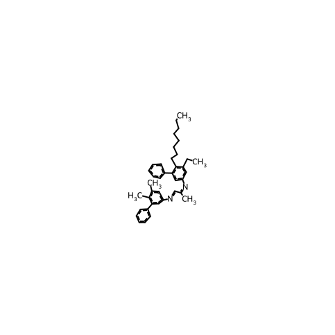 CCCCCCCCc1c(CC)cc(N=C(C)C=Nc2cc(C)c(C)c(-c3ccccc3)c2)cc1-c1ccccc1